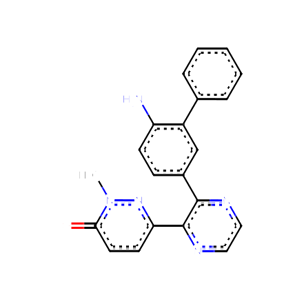 Cn1nc(-c2nccnc2-c2ccc(N)c(-c3ccccc3)c2)ccc1=O